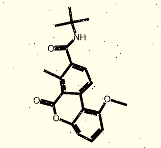 COc1cccc2oc(=O)c3c(C)c(C(=O)NC(C)(C)C)ccc3c12